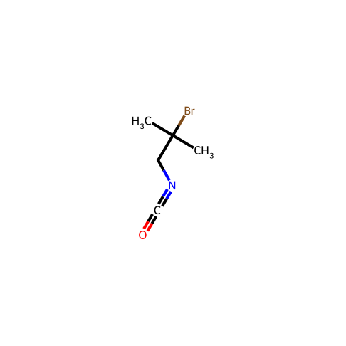 CC(C)(Br)CN=C=O